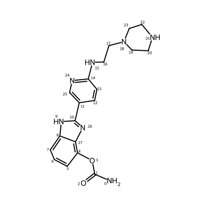 NC(=O)Oc1cccc2[nH]c(-c3ccc(NCCN4CCNCC4)nc3)nc12